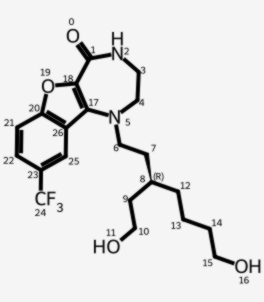 O=C1NCCN(CC[C@H](CCO)CCCCO)c2c1oc1ccc(C(F)(F)F)cc21